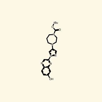 CC(C)(C)OC(=O)N1CCCN(c2cnn(-c3cnc4ccc(O)cc4n3)c2)CC1